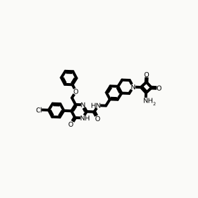 Nc1c(N2CCc3ccc(CNC(=O)c4nc(COc5ccccc5)c(-c5ccc(Cl)cc5)c(=O)[nH]4)cc3C2)c(=O)c1=O